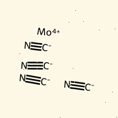 [C-]#N.[C-]#N.[C-]#N.[C-]#N.[Mo+4]